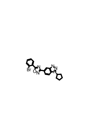 Brc1ccccc1-c1nc(-c2ccc3c(c2)nnn3C2CCCC2)no1